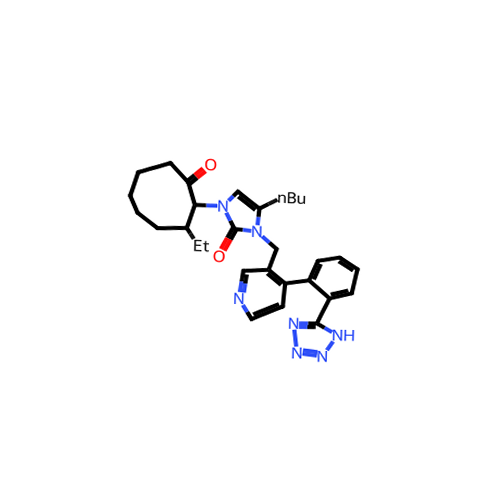 CCCCc1cn(C2C(=O)CCCCCC2CC)c(=O)n1Cc1cnccc1-c1ccccc1-c1nnn[nH]1